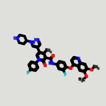 COc1cc2nccc(Oc3ccc(NC(=O)c4c(C)c(/C(C=N)=C/NC5CCNCC5)cn(-c5ccc(F)cc5)c4=O)cc3F)c2cc1OC